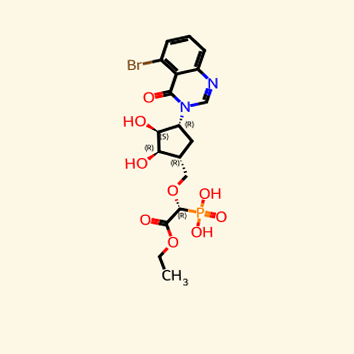 CCOC(=O)[C@H](OC[C@H]1C[C@@H](n2cnc3cccc(Br)c3c2=O)[C@H](O)[C@@H]1O)P(=O)(O)O